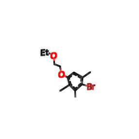 CCOCCOc1cc(C)c(Br)c(C)c1C